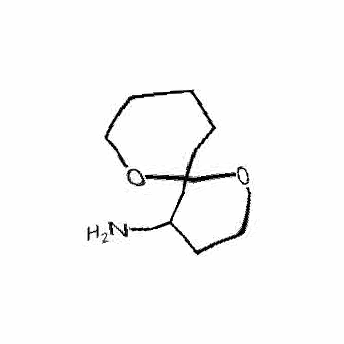 NC1CCOC12CCCCO2